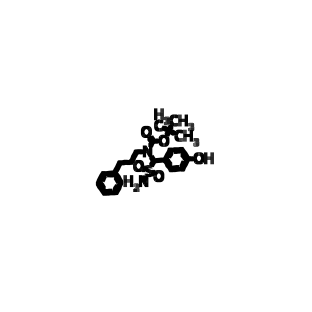 CC(C)(C)OC(=O)N(CCCc1ccccc1)C(c1ccc(O)cc1)S(N)(=O)=O